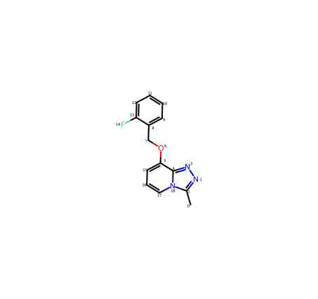 Cc1nnc2c(OCc3ccccc3F)cccn12